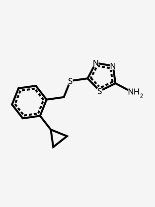 Nc1nnc(SCc2ccccc2C2CC2)s1